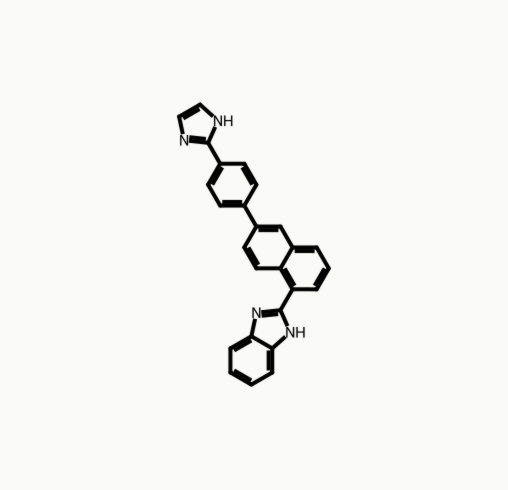 c1cc(-c2nc3ccccc3[nH]2)c2ccc(-c3ccc(-c4ncc[nH]4)cc3)cc2c1